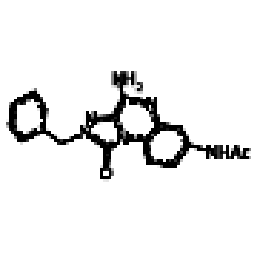 CC(=O)Nc1ccc2c(c1)nc(N)c1nn(Cc3ccccc3)c(=O)n12